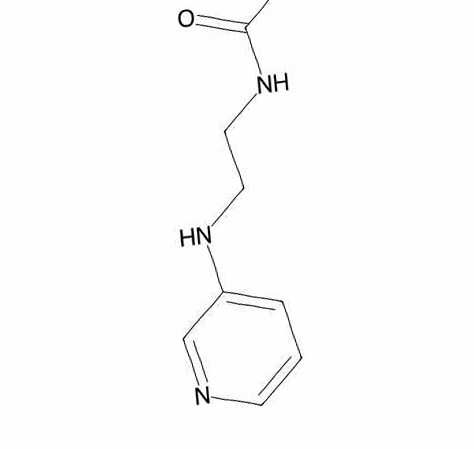 NC(=O)NCCNc1cccnc1